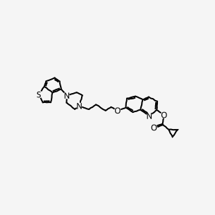 O=C(Oc1ccc2ccc(OCCCCN3CCN(c4cccc5sccc45)CC3)cc2n1)C1CC1